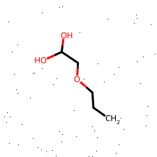 [CH2]CCOCC(O)O